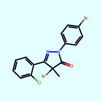 CC1(Br)C(=O)N(c2ccc(Br)cc2)N=C1c1ccccc1Cl